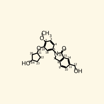 COc1ccc(N2Cc3ccc(CO)cc3C2=O)cc1OC1CCC(O)C1